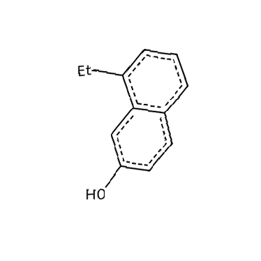 CCc1cccc2ccc(O)cc12